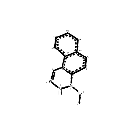 CON1NN=Cc2c1ccc1ccccc21